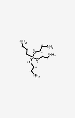 NCCC[Si](OCCN)(OCCN)OCCN